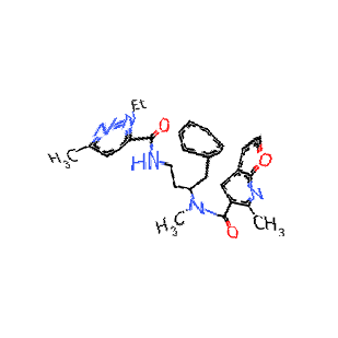 CCn1nc(C)cc1C(=O)NCCC(Cc1ccccc1)N(C)C(=O)c1cc2ccoc2nc1C